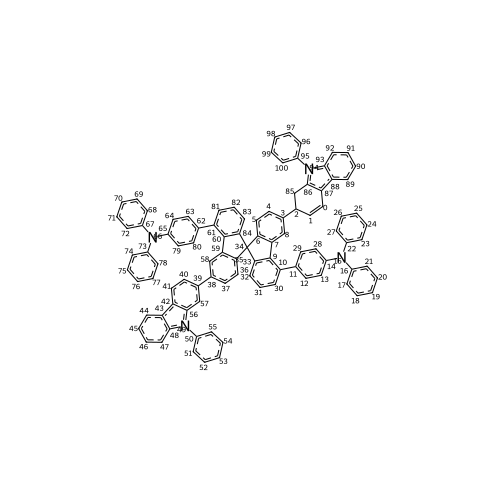 C1=CC(c2ccc3c(c2)-c2c(-c4ccc(N(c5ccccc5)c5ccccc5)cc4)cccc2C32c3ccc(-c4ccc5c6ccccc6n(-c6ccccc6)c5c4)cc3-c3c(-c4ccc(N(c5ccccc5)c5ccccc5)cc4)cccc32)Cc2c1c1ccccc1n2-c1ccccc1